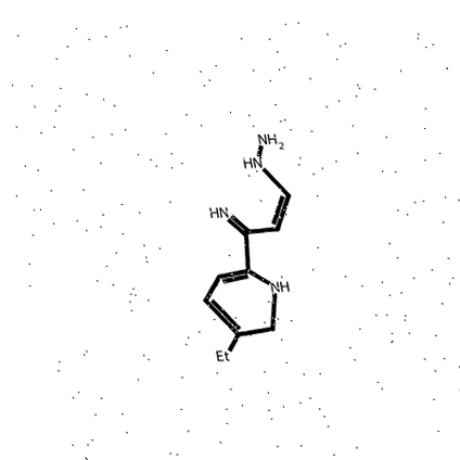 CCC1=CC=C(C(=N)/C=C\NN)NC1